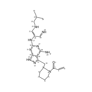 C=CC(=O)N1CCCCC1Cc1n[nH]c2nc(N/C(C=N)=C/NCC(C)C)nc(N)c12